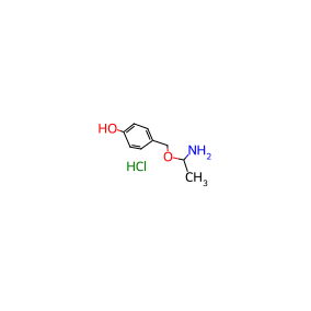 CC(N)OCc1ccc(O)cc1.Cl